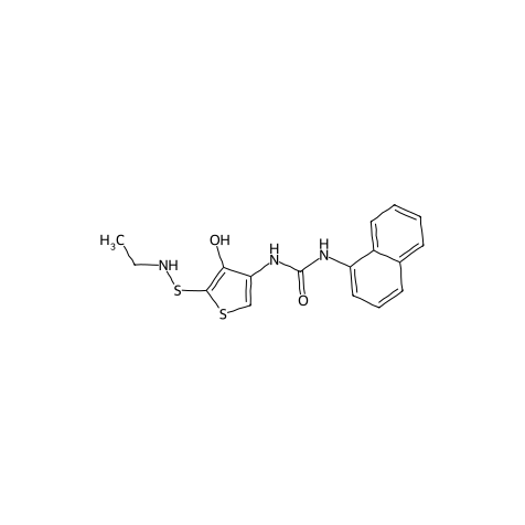 CCNSc1scc(NC(=O)Nc2cccc3ccccc23)c1O